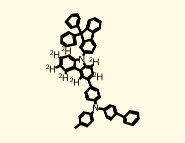 [2H]c1c([2H])c([2H])c2c(c1[2H])c1c([2H])c(-c3ccc(N(c4ccc(C)cc4)c4ccc(-c5ccccc5)cc4)cc3)c([2H])c([2H])c1n2-c1ccc2c(c1)C(c1ccccc1)(c1ccccc1)c1ccccc1-2